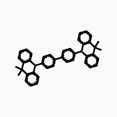 CC1(C)c2ccccc2N(c2ccc(-c3ccc(N4c5ccccc5C(C)(C)c5ccccc54)cc3)cc2)c2ccccc21